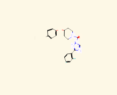 Cc1ccc(OC2CCN(C(=O)n3cnc(-c4ccc(F)cc4F)n3)CC2)cc1